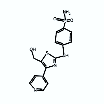 NS(=O)(=O)c1ccc(Nc2nc(-c3ccncc3)c(CO)s2)cc1